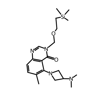 Cc1ccc2ncn(COCC[Si](C)(C)C)c(=O)c2c1N1CC(N(C)C)C1